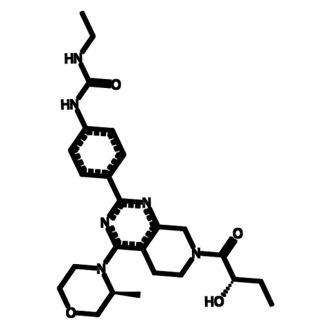 CCNC(=O)Nc1ccc(-c2nc3c(c(N4CCOC[C@@H]4C)n2)CCN(C(=O)[C@@H](O)CC)C3)cc1